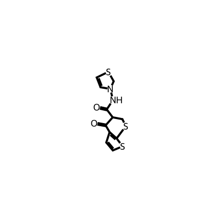 O=C(NN1C=CSC1)C1CSc2sccc2C1=O